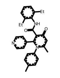 CCc1cccc(CC)c1NC(=O)c1c(-c2ccncc2)n(-c2ccc(C)cc2)c(C)cc1=O